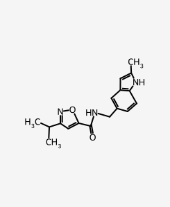 Cc1cc2cc(CNC(=O)c3cc(C(C)C)no3)ccc2[nH]1